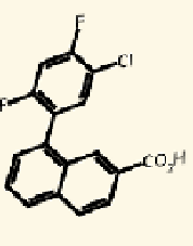 O=C(O)c1ccc2cccc(-c3cc(Cl)c(F)cc3F)c2c1